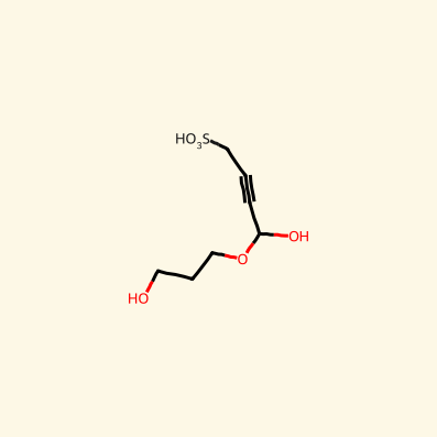 O=S(=O)(O)CC#CC(O)OCCCO